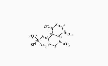 CC1CCC(=C[N+](C)(C)Cl)C2N(Cl)C=CC(=O)N12